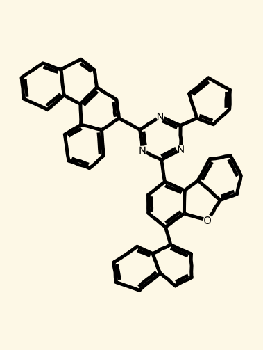 c1ccc(-c2nc(-c3cc4ccc5ccccc5c4c4ccccc34)nc(-c3ccc(-c4cccc5ccccc45)c4oc5ccccc5c34)n2)cc1